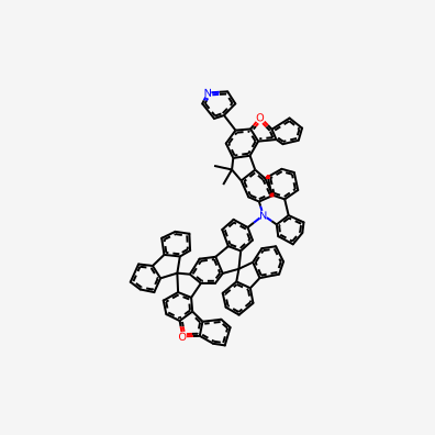 CC1(C)c2cc(N(c3ccc4c(c3)C3(c5ccccc5-c5ccccc53)c3cc5c(cc3-4)C3(c4ccccc4-c4ccccc43)c3ccc4oc6ccccc6c4c3-5)c3ccccc3-c3ccccc3)ccc2-c2c1cc(-c1ccncc1)c1oc3ccccc3c21